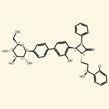 O=C1[C@H](CC[C@H](O)c2ccccc2Cl)[C@@H](c2ccc(-c3ccc([C@@H]4O[C@H](CO)[C@@H](O)[C@H](O)[C@H]4O)cc3)cc2O)N1c1ccccc1